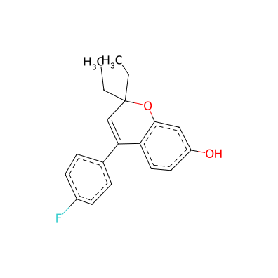 CCC1(CC)C=C(c2ccc(F)cc2)c2ccc(O)cc2O1